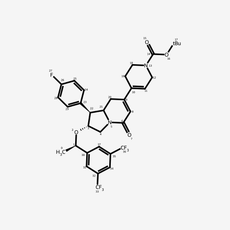 C[C@@H](O[C@H]1CN2C(=O)C=C(C3=CCN(C(=O)OC(C)(C)C)CC3)CC2[C@@H]1c1ccc(F)cc1)c1cc(C(F)(F)F)cc(C(F)(F)F)c1